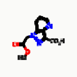 CC(C)(C)OC(=O)Cn1nc(C(=O)O)c2ncccc21